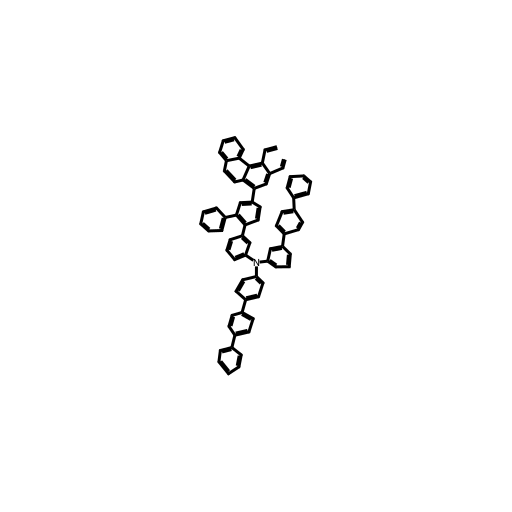 C=Cc1cc(-c2ccc(-c3cccc(N(c4ccc(-c5ccc(-c6ccccc6)cc5)cc4)c4cccc(-c5ccc(-c6ccccc6)cc5)c4)c3)c(-c3ccccc3)c2)c2ccc3ccccc3c2c1C=C